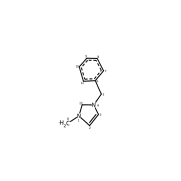 [CH2]N1C=CN(Cc2ccccc2)C1